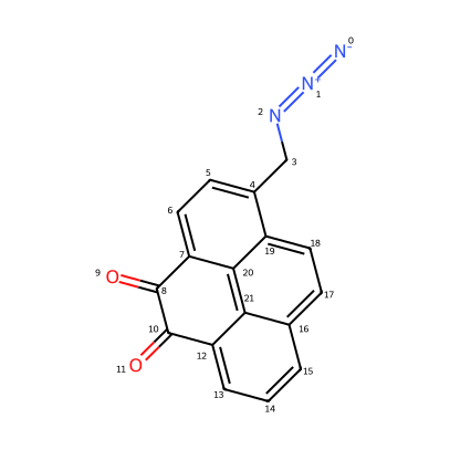 [N-]=[N+]=NCc1ccc2c(=O)c(=O)c3cccc4ccc1c2c43